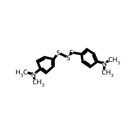 CN(C)c1ccc(SSSc2ccc(N(C)C)cc2)cc1